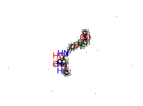 O=c1ccc2c([C@@H](O)CNCCc3ccc(OCC(F)(F)c4cccc(S(=O)(=O)C5CCCC5)c4)cc3)ccc(OCc3ccccc3)c2[nH]1